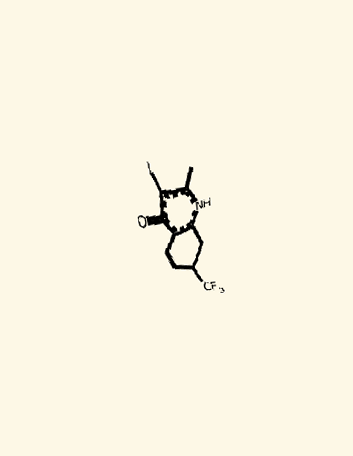 Cc1[nH]c2c(c(=O)c1I)CCC(C(F)(F)F)C2